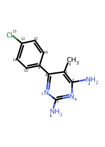 Cc1c(N)nc(N)nc1-c1ccc(Cl)cc1